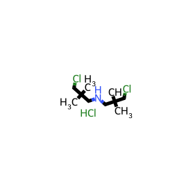 CC(C)(CCl)CNCC(C)(C)CCl.Cl